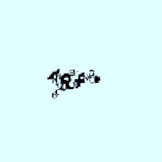 COC(=C=O)C[C@H](CN1CC2(CCN(C(=O)OC(C)(C)C)C2)C1)c1cc(Br)cc(-n2nc(C)cc2C)c1